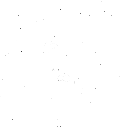 Cn1cc(C(N)=O)c(O[C@H]2CC3(C[C@H](NC(=O)c4cnn5cc(N6CC7(COC7)C6)ccc45)C3)C2)n1